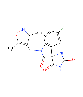 Cc1noc(C)c1CN1C(=O)C2(NC(=O)NC2=O)c2cc(Cl)ccc21